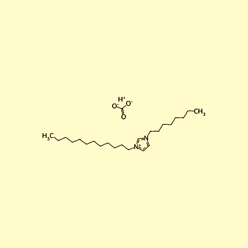 CCCCCCCCCCCC[n+]1ccn(CCCCCCCC)c1.O=C([O-])[O-].[H+]